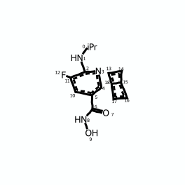 CC(C)Nc1ncc(C(=O)NO)cc1F.c1cc2ccc1-2